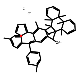 CC1=C(C2=CC=CC2)C(=C(c2ccc(C)cc2)c2ccc(C)cc2)C=C2[CH]([Zr+2])C3(C)C4(C)C=CC=CC4(C)C4(C)C=CC=CC4(C)C3(C)C21C.[Cl-].[Cl-]